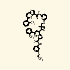 CC1(COc2cccc(NC(=O)c3cnc4ccc(-c5ccccc5C(F)(F)F)nn34)n2)COC1c1cc(-c2ccccc2C(F)(F)F)nn2c(C(=O)Nc3ccnc(OCC(F)(F)F)c3)cnc12